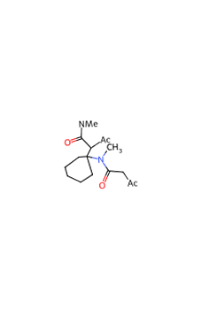 CNC(=O)C(C(C)=O)C1(N(C)C(=O)CC(C)=O)CCCCC1